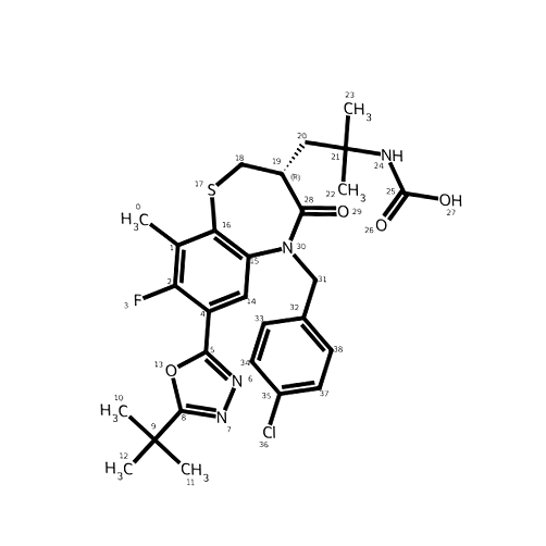 Cc1c(F)c(-c2nnc(C(C)(C)C)o2)cc2c1SC[C@H](CC(C)(C)NC(=O)O)C(=O)N2Cc1ccc(Cl)cc1